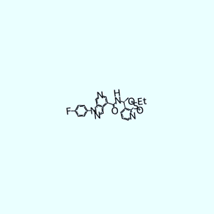 CCS(=O)(=O)c1ncccc1[C@H](C)NC(=O)c1cncc2c1cnn2-c1ccc(F)cc1